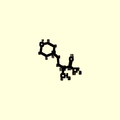 CN(CCN1CCOCC1)C(=O)C(F)(F)F